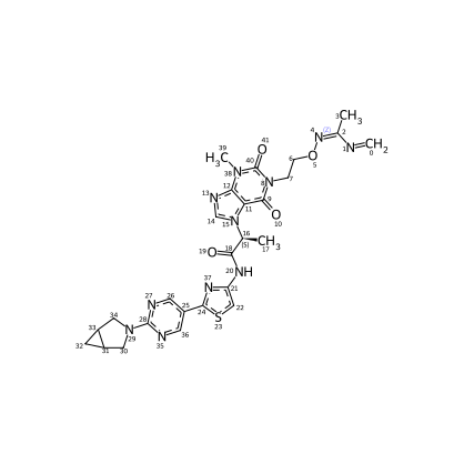 C=N/C(C)=N\OCCn1c(=O)c2c(ncn2[C@@H](C)C(=O)Nc2csc(-c3cnc(N4CC5CC5C4)nc3)n2)n(C)c1=O